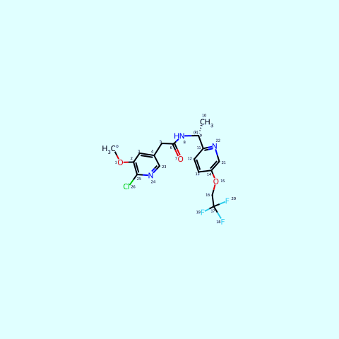 COc1cc(CC(=O)N[C@H](C)c2ccc(OCC(F)(F)F)cn2)cnc1Cl